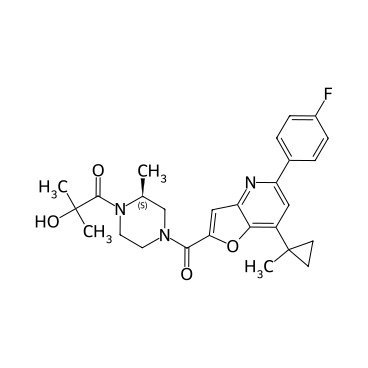 C[C@H]1CN(C(=O)c2cc3nc(-c4ccc(F)cc4)cc(C4(C)CC4)c3o2)CCN1C(=O)C(C)(C)O